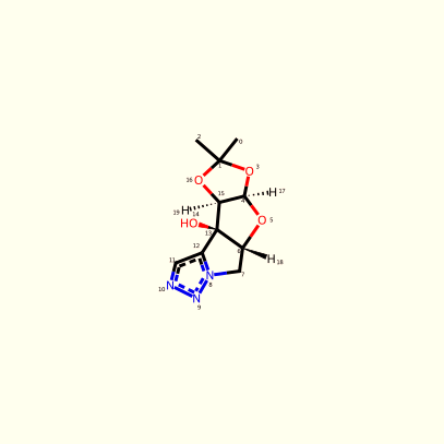 CC1(C)O[C@H]2O[C@@H]3Cn4nncc4[C@]3(O)[C@H]2O1